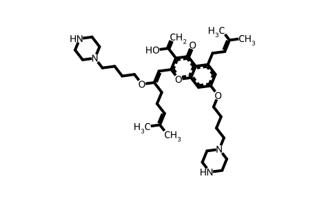 C=C(O)c1c(/C=C(\CCC=C(C)C)OCCCCN2CCNCC2)oc2cc(OCCCCN3CCNCC3)cc(CC=C(C)C)c2c1=O